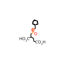 O=C(O)CCC(C[PH](=O)OCc1ccccc1)C(=O)O